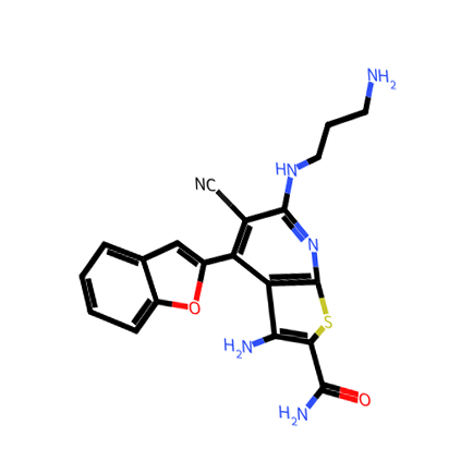 N#Cc1c(NCCCN)nc2sc(C(N)=O)c(N)c2c1-c1cc2ccccc2o1